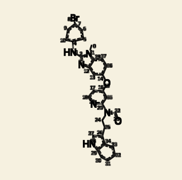 Cn1c(Nc2ccc(Br)cc2)nc2cc(Oc3ccnc(N(C=O)CCc4c[nH]c5ccccc45)c3)ccc21